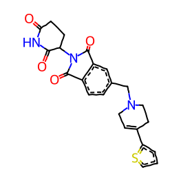 O=C1CCC(N2C(=O)c3ccc(CN4CC=C(c5cccs5)CC4)cc3C2=O)C(=O)N1